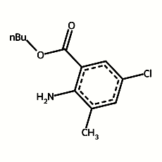 CCCCOC(=O)c1cc(Cl)cc(C)c1N